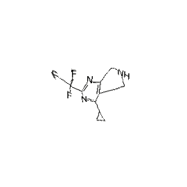 FC(F)(F)c1nc2c(c(C3CC3)n1)CCNC2